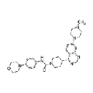 CN1CCN(c2ccc3c(C4CCN(C(=O)Nc5ccc(N6CCOCC6)cc5)CC4)ncnc3c2)CC1